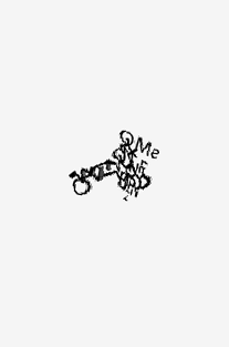 C=CC(=O)N1CCN2C(=O)c3c(N4CCC(OC)C4(C)C)nc(-c4c(N)cccc4F)c(F)c3OCC2C1